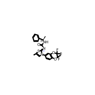 Cc1cn(-c2ccc3c(c2)OC(F)(F)C(F)(F)O3)/c(=N/C(=O)N[C@H](C)c2ccccc2)s1